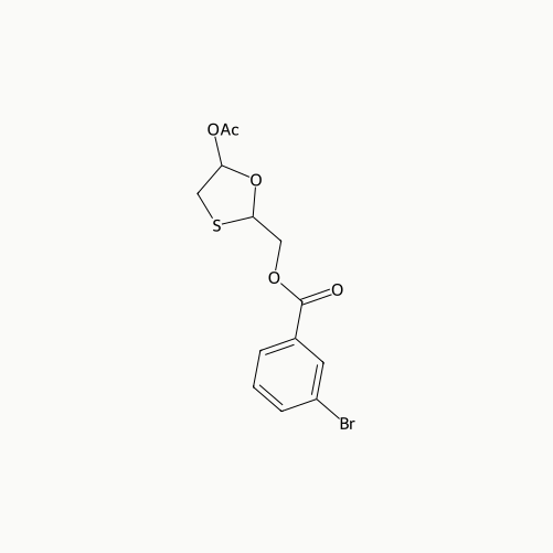 CC(=O)OC1CSC(COC(=O)c2cccc(Br)c2)O1